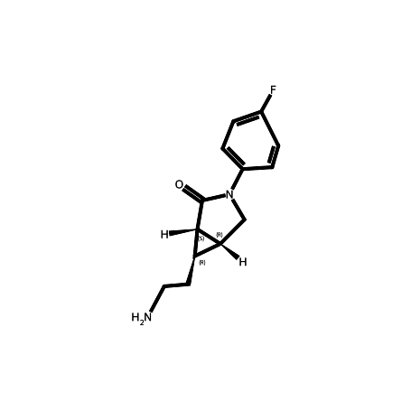 NCC[C@@H]1[C@H]2CN(c3ccc(F)cc3)C(=O)[C@@H]12